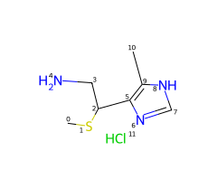 CSC(CN)c1nc[nH]c1C.Cl